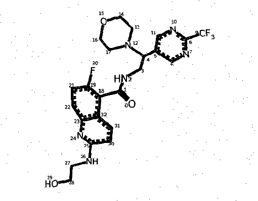 O=C(NCC(c1cnc(C(F)(F)F)nc1)N1CCOCC1)c1c(F)ccc2nc(NCCO)ccc12